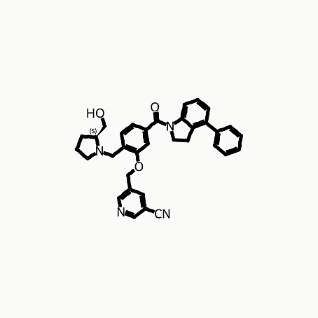 N#Cc1cncc(COc2cc(C(=O)N3CCc4c(-c5ccccc5)cccc43)ccc2CN2CCC[C@H]2CO)c1